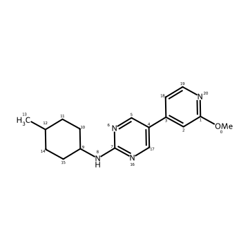 COc1cc(-c2cnc(NC3CCC(C)CC3)nc2)ccn1